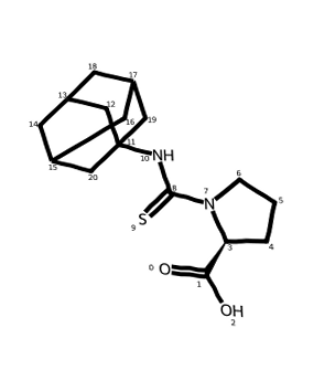 O=C(O)[C@@H]1CCCN1C(=S)NC12CC3CC(CC(C3)C1)C2